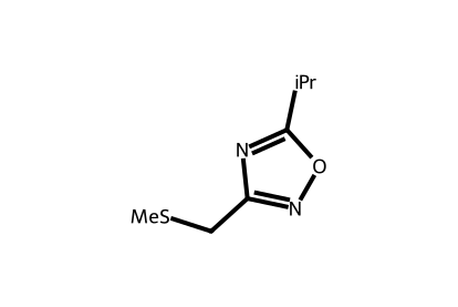 CSCc1noc(C(C)C)n1